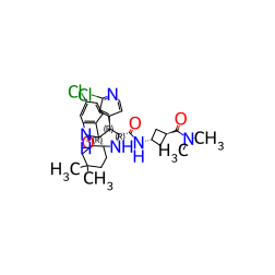 CN(C)C(=O)[C@H]1C[C@H](NC(=O)[C@@H]2NC3(CCC(C)(C)CC3)[C@@]3(C(=O)Nc4cc(Cl)ccc43)[C@H]2c2ccnc(Cl)c2)C1